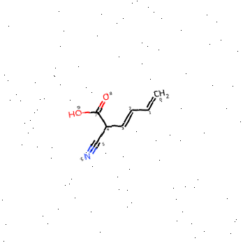 C=CC=CC(C#N)C(=O)O